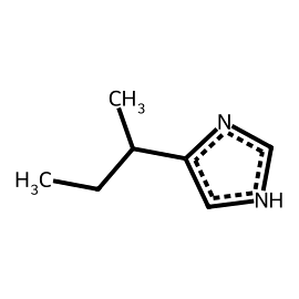 CCC(C)c1c[nH]cn1